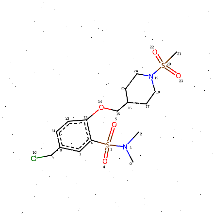 CN(C)S(=O)(=O)c1cc(CCl)ccc1OCC1CCN(S(C)(=O)=O)CC1